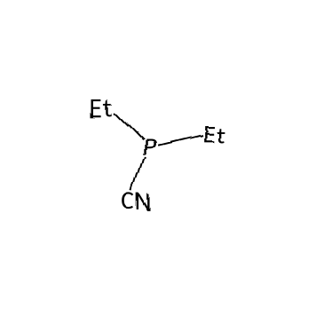 CCP(C#N)CC